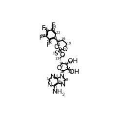 Nc1ncnc2c1ncn2[C@@H]1O[C@H](COP2(=S)OCCC(c3cc(F)c(F)c(F)c3F)O2)[C@@H](O)[C@H]1O